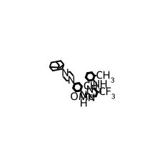 COc1cc(N2CCN(C3C4CC5CC(C4)CC3C5)CC2)ccc1Nc1ncc(C(F)(F)F)c(Nc2c(C)cccc2C)n1